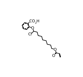 C=CC(=O)OCCCCCCCCC(Cl)Oc1ccccc1C(=O)O